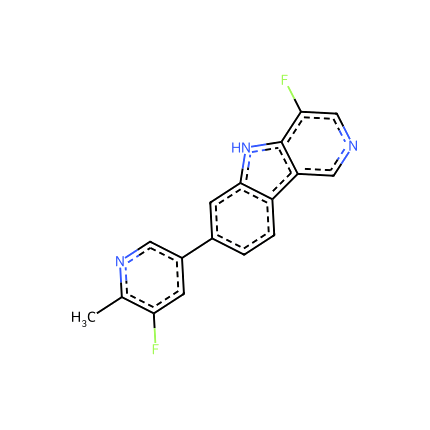 Cc1ncc(-c2ccc3c(c2)[nH]c2c(F)cncc23)cc1F